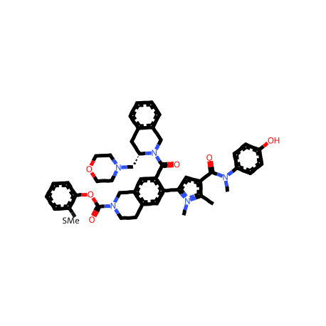 CSc1ccccc1OC(=O)N1CCc2cc(-c3cc(C(=O)N(C)c4ccc(O)cc4)c(C)n3C)c(C(=O)N3Cc4ccccc4C[C@H]3CN3CCOCC3)cc2C1